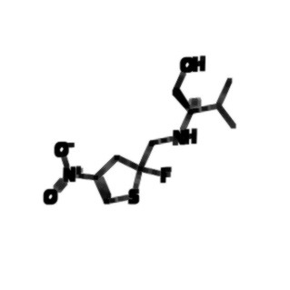 CC(C)[C@H](CO)NCC1(F)CC([N+](=O)[O-])=CS1